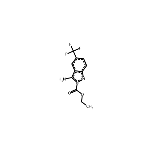 CCOC(=O)n1nc2ccc(C(F)(F)F)cc2c1N